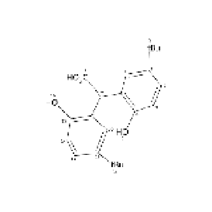 CC(C)(C)c1ccc(O)c(C(C(=O)O)c2cc(C(C)(C)C)ccc2O)c1